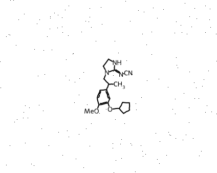 COc1ccc(C(C)CN2CCN/C2=N\C#N)cc1OC1CCCC1